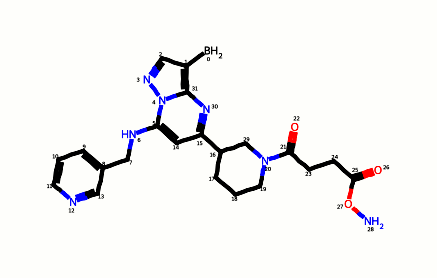 Bc1cnn2c(NCc3cccnc3)cc(C3CCCN(C(=O)CCC(=O)ON)C3)nc12